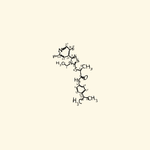 CCn1c(SC(C)C(=O)Nc2ccc(C(C)C)cc2)nnc1-c1cc(F)ncc1F